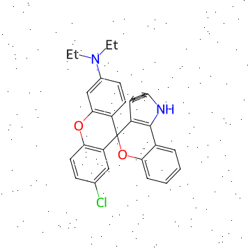 CCN(CC)c1ccc2c(c1)Oc1ccc(Cl)cc1C21Oc2ccccc2-c2[nH]c3ccccc3c21